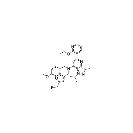 CCOc1ncccc1-c1cc(N(Cc2ccc(OC)cc2)Cc2cc(CF)on2)c2c(n1)c(C)nn2C(C)C